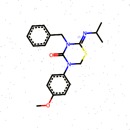 COc1ccc(N2CS/C(=N\C(C)C)N(Cc3ccccc3)C2=O)cc1